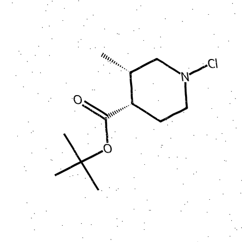 C[C@@H]1CN(Cl)CC[C@@H]1C(=O)OC(C)(C)C